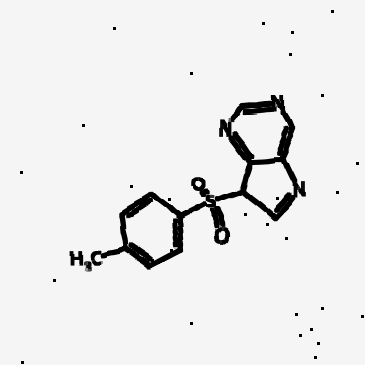 Cc1ccc(S(=O)(=O)C2C=Nc3cncnc32)cc1